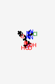 C=C(COC(C(C)C)(C(C)C)P(=O)(O)O)C(CO[Si](C)(C)C(C)(C)C)n1cnc2c(Cl)ncnc21